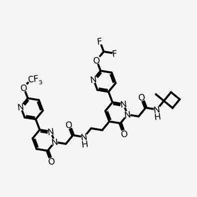 CC1(NC(=O)Cn2nc(-c3ccc(OC(F)F)nc3)cc(CCNC(=O)Cn3nc(-c4ccc(OC(F)(F)F)nc4)ccc3=O)c2=O)CCC1